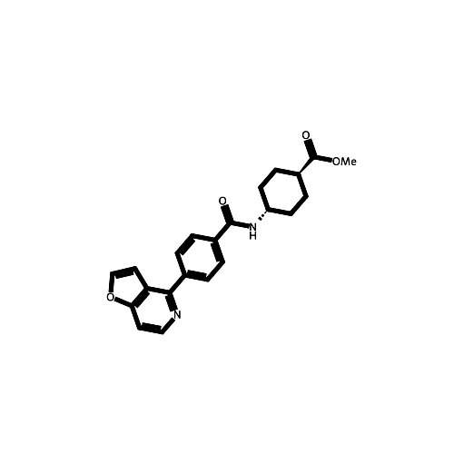 COC(=O)[C@H]1CC[C@H](NC(=O)c2ccc(-c3nccc4occc34)cc2)CC1